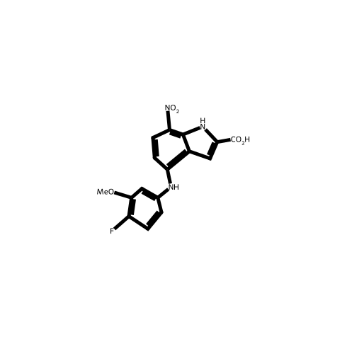 COc1cc(Nc2ccc([N+](=O)[O-])c3[nH]c(C(=O)O)cc23)ccc1F